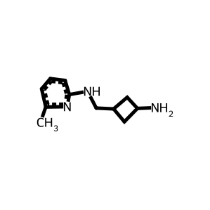 Cc1cccc(NCC2CC(N)C2)n1